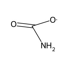 NC([O])=O